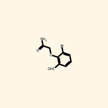 NC(=O)COc1c(Br)cccc1C=O